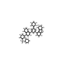 CC1(C)c2ccccc2-c2c(-c3ccc(-c4cc(-c5cccc6oc7ccccc7c56)nc(-c5ccccc5)n4)c4ccccc34)cccc21